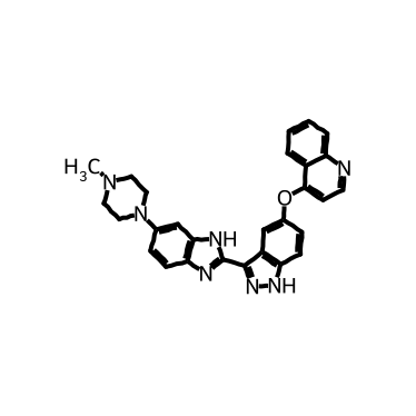 CN1CCN(c2ccc3nc(-c4n[nH]c5ccc(Oc6ccnc7ccccc67)cc45)[nH]c3c2)CC1